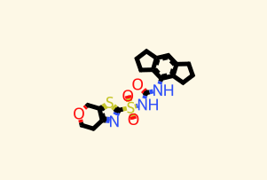 O=C(Nc1c2c(cc3c1CCC3)CCC2)NS(=O)(=O)c1nc2c(s1)COCC2